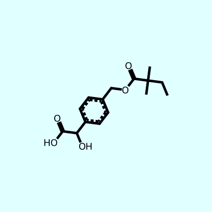 CCC(C)(C)C(=O)OCc1ccc(C(O)C(=O)O)cc1